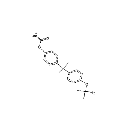 CC[C@H](C)C(=O)Oc1ccc(C(C)(C)c2ccc(OC(C)(C)CC)cc2)cc1